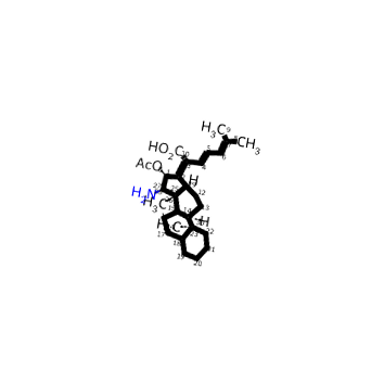 CC(=O)O[C@@H]1/C(=C(/C=C/C=C(C)C)C(=O)O)[C@@H]2CC[C@@H]3C(CCC4CCCC[C@@]43C)[C@@]2(C)[C@@H]1N